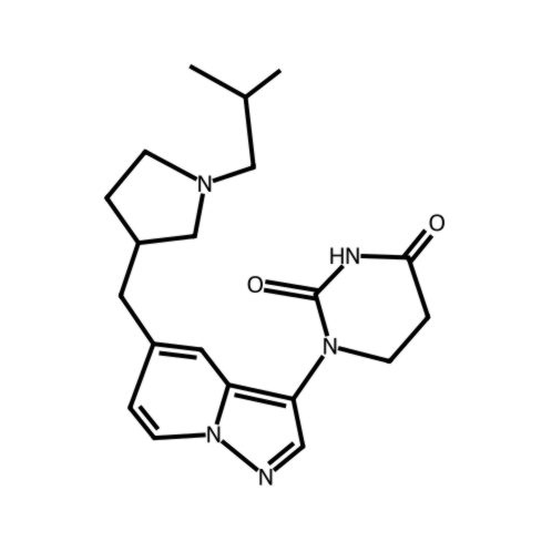 CC(C)CN1CCC(Cc2ccn3ncc(N4CCC(=O)NC4=O)c3c2)C1